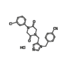 Cl.N#Cc1ccc(Cn2cncc2CN2CC(=O)N(c3cccc(Cl)c3)CC2=O)cc1